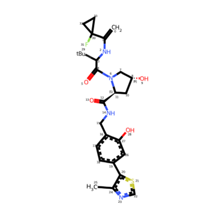 C=C(NC(C(=O)N1C[C@H](O)C[C@H]1C(=O)NCc1ccc(-c2scnc2C)cc1O)C(C)(C)C)C1(F)CC1